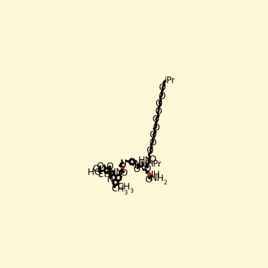 CC[C@@]1(O)C(=O)OCc2c1cc1n(c2=O)Cc2c-1nc1cc(C)c(C)c3c1c2[C@@H](NC(=O)c1ccn(Cc2ccc(NC(=O)[C@H](CCCNC(N)=O)NC(=O)[C@@H](NC(=O)CCOCCOCCOCCOCCOCCOCCOCCOCCOCCC(C)C)C(C)C)cc2)c1)CC3